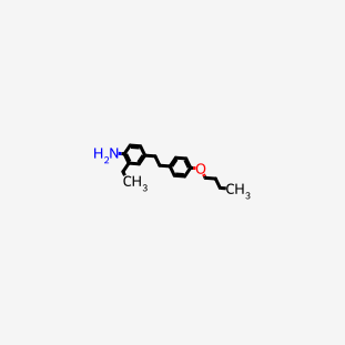 CCCCOc1ccc(CCc2ccc(N)c(CC)c2)cc1